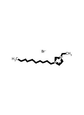 CCCCCCCCCCn1cc[n+](CC)c1.[Br-]